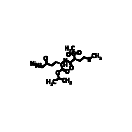 CSCC[C@@H](C(=O)N[C@@H](CCC(=O)C=[N+]=[N-])C(=O)OC(C)C)S(C)(=O)=O